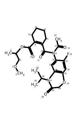 COCC(C)OC(=O)C1=C(C(=O)N(C(C)=O)c2cc3c(cc2F)OCC(=O)N3C(C)C)CCCC1